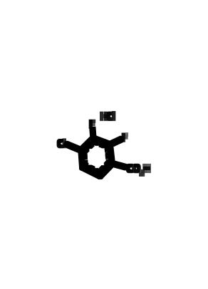 Cl.O=C(O)c1ccc(Cl)c(F)c1F